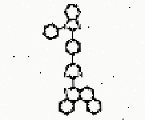 c1ccc(-n2c(-c3ccc(-c4cnc(-c5nc6ccccc6c6c5ccc5ccccc56)nc4)cc3)nc3ccccc32)cc1